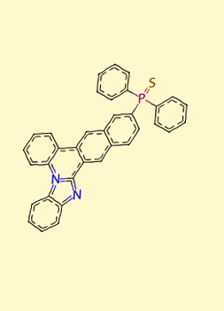 S=P(c1ccccc1)(c1ccccc1)c1ccc2cc3c(cc2c1)c1ccccc1n1c2ccccc2nc31